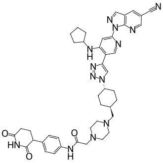 N#Cc1cnc2c(cnn2-c2cc(NC3CCCC3)c(-c3cn([C@H]4CC[C@H](CN5CCN(CC(=O)Nc6ccc(C7CCC(=O)NC7=O)cc6)CC5)CC4)nn3)cn2)c1